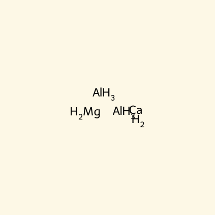 [AlH3].[AlH3].[CaH2].[MgH2]